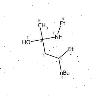 CCCCC(CC)CC(C)(O)NCC